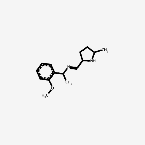 COc1ccccc1C(C)N=CC1CCC(C)N1